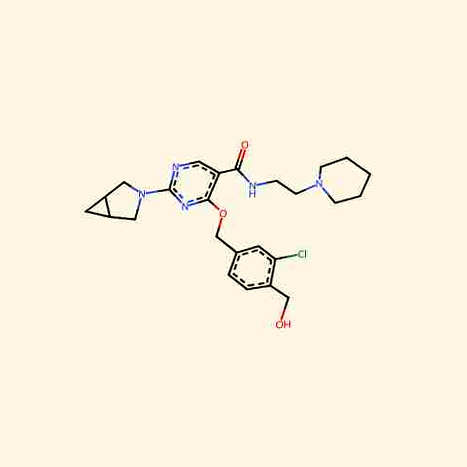 O=C(NCCN1CCCCC1)c1cnc(N2CC3CC3C2)nc1OCc1ccc(CO)c(Cl)c1